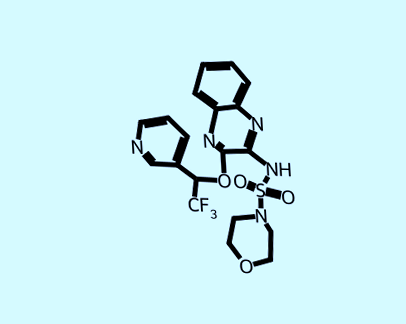 O=S(=O)(Nc1nc2ccccc2nc1OC(c1cccnc1)C(F)(F)F)N1CCOCC1